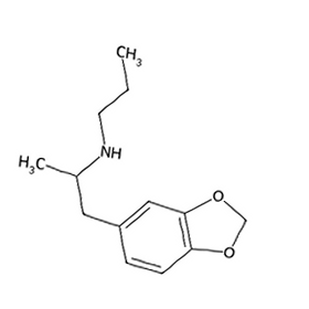 CCCNC(C)Cc1ccc2c(c1)OCO2